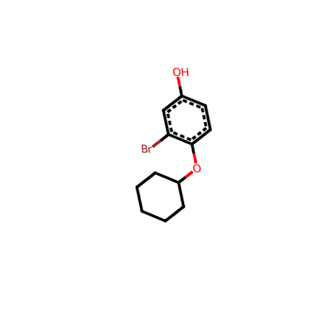 Oc1ccc(OC2CCCCC2)c(Br)c1